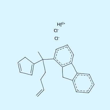 C=CCCC(C)(C1=CC=CC1)c1cccc2c1Cc1ccccc1-2.[Cl-].[Cl-].[Hf+2]